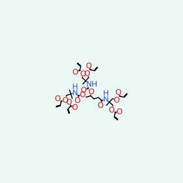 C=CC(=O)OCC(C)(COC(=O)C=C)NC(=O)CCC(COC(=O)NC(C)(COC(=O)C=C)COC(=O)C=C)OC(=O)NC(C)(COC(=O)C=C)COC(=O)C=C